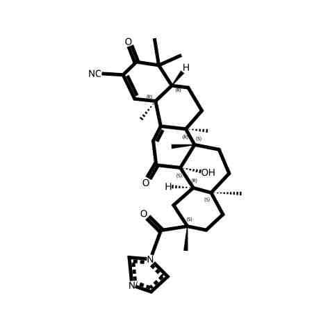 CC1(C)C(=O)C(C#N)=C[C@]2(C)C3=CC(=O)[C@]4(O)[C@@H]5C[C@@](C)(C(=O)n6ccnc6)CC[C@]5(C)CC[C@@]4(C)[C@]3(C)CC[C@@H]12